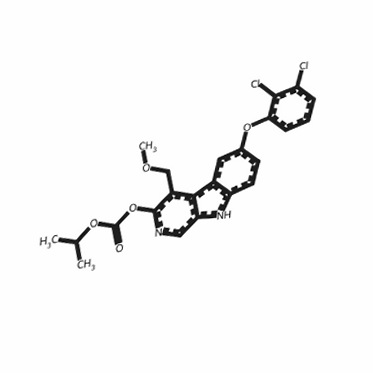 COCc1c(OC(=O)OC(C)C)ncc2[nH]c3ccc(Oc4cccc(Cl)c4Cl)cc3c12